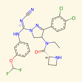 CCN(C(=O)[C@H]1CCN1)C1CN(/C(=N\C#N)Nc2cccc(OC(F)F)c2)N=C1c1ccc(Cl)c(Cl)c1